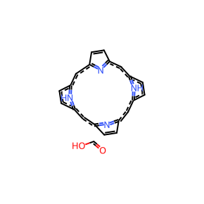 C1=Cc2cc3ccc(cc4nc(cc5ccc(cc1n2)[nH]5)C=C4)[nH]3.O=CO